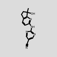 CC1(O)CCc2ccc(Nc3ncc(C#N)cn3)nc21